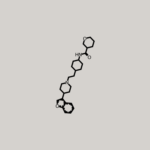 O=C(NC1CCC(CCN2CCC(c3coc4ccccc34)CC2)CC1)C1CCCOC1